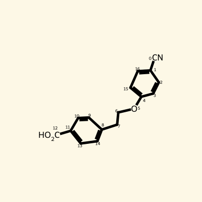 N#Cc1ccc(OCCc2ccc(C(=O)O)cc2)cc1